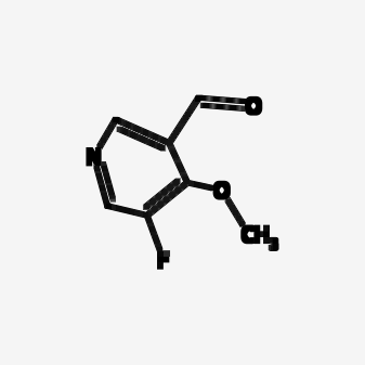 COc1c(F)cncc1C=O